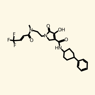 CN(CCN1CC(C(=O)NC2CCC(c3ccccc3)CC2)=C(O)C1=O)C(=O)C=CC(F)(F)F